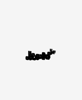 O=C1CN(Cc2coc(CNS(=O)(=O)c3cccc(OCC(F)F)c3)c2)C(=O)N1